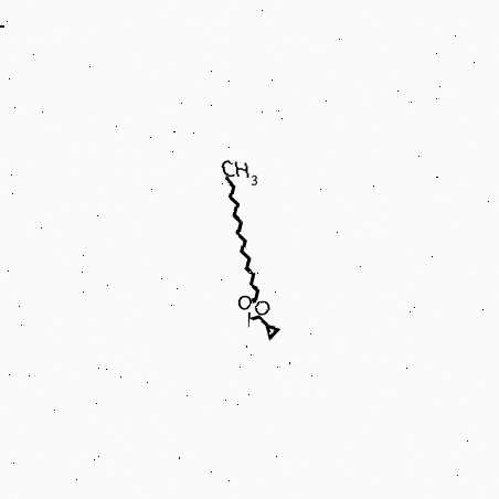 CCCCCCCCCCCCCCCC(=O)OC(I)C1CC1